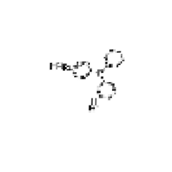 [H-].[H-].[H-].[H-].[Ru+4].c1ccc(P(c2ccccc2)c2ccccc2)cc1